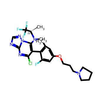 Cc1cc(OCCCN2CCCC2)cc(F)c1-c1c(Cl)nc2ncnn2c1N(C)[C@@H](C)C(F)(F)F